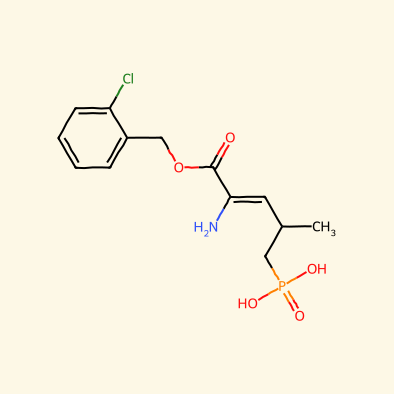 CC(C=C(N)C(=O)OCc1ccccc1Cl)CP(=O)(O)O